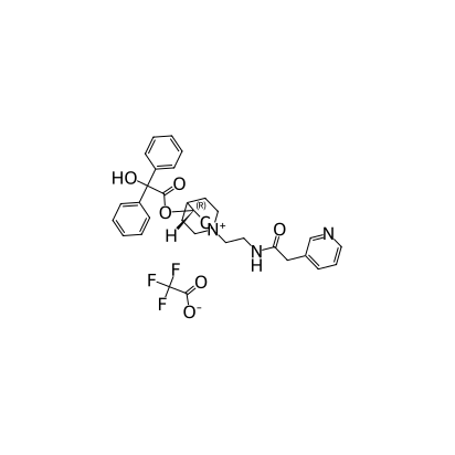 O=C(Cc1cccnc1)NCC[N+]12CCC(CC1)[C@@H](OC(=O)C(O)(c1ccccc1)c1ccccc1)C2.O=C([O-])C(F)(F)F